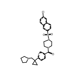 O=C(c1ccc(C2(CN3CCCC3)CC2)cc1)N1CCN(S(=O)(=O)c2ccc3cc(Cl)ccc3c2)CC1